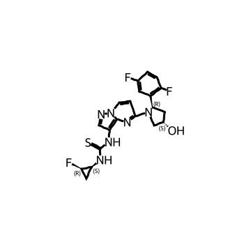 O[C@H]1C[C@H](c2cc(F)ccc2F)N(c2ccn3ncc(NC(=S)N[C@H]4C[C@H]4F)c3n2)C1